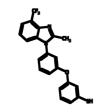 Cc1nc2c(C(F)(F)F)cccc2n1-c1cccc(Oc2cccc(S)c2)c1